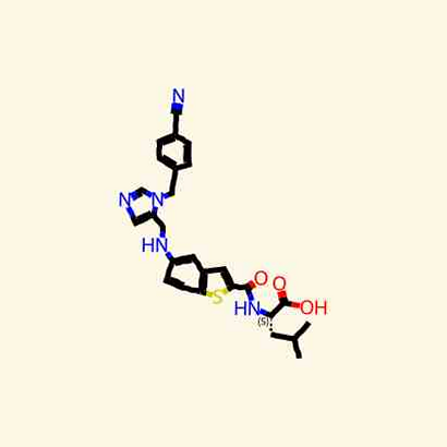 CC(C)C[C@H](NC(=O)c1cc2cc(NCc3cncn3Cc3ccc(C#N)cc3)ccc2s1)C(=O)O